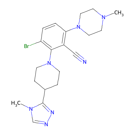 CN1CCN(c2ccc(Br)c(N3CCC(c4nncn4C)CC3)c2C#N)CC1